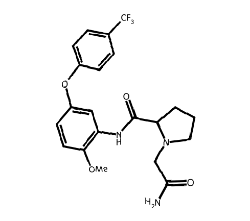 COc1ccc(Oc2ccc(C(F)(F)F)cc2)cc1NC(=O)C1CCCN1CC(N)=O